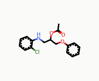 CC(=O)OC(CNc1ccccc1Cl)COc1ccccc1